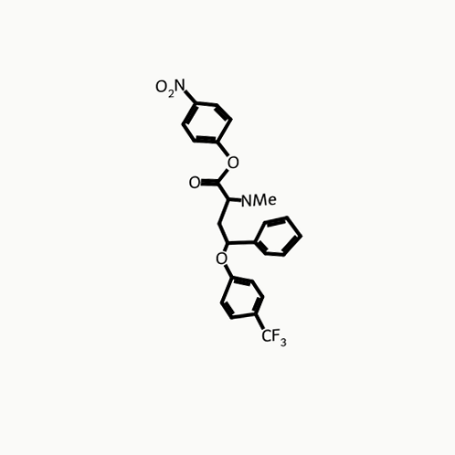 CNC(CC(Oc1ccc(C(F)(F)F)cc1)c1ccccc1)C(=O)Oc1ccc([N+](=O)[O-])cc1